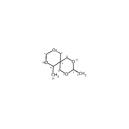 CC1OCC2(COCOC2C)CO1